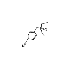 CCP(=O)(CC)Cc1ccc(C#N)cc1